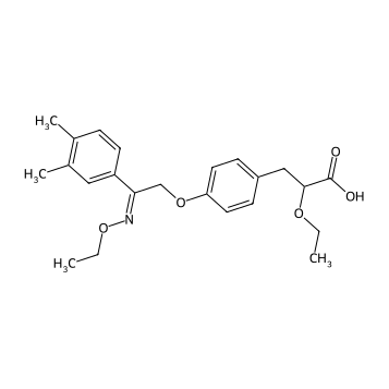 CCON=C(COc1ccc(CC(OCC)C(=O)O)cc1)c1ccc(C)c(C)c1